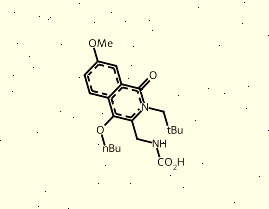 CCCCOc1c(CNC(=O)O)n(CC(C)(C)C)c(=O)c2cc(OC)ccc12